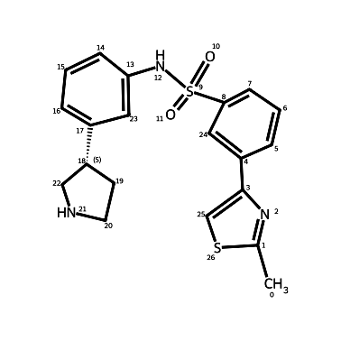 Cc1nc(-c2cccc(S(=O)(=O)Nc3cccc([C@@H]4CCNC4)c3)c2)cs1